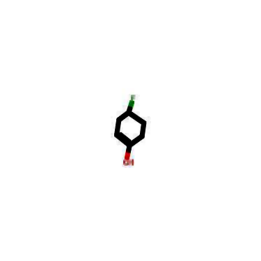 OC1=CCC(F)CC1